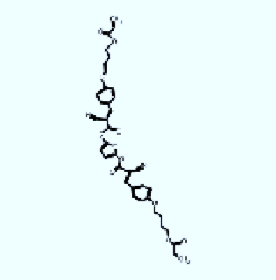 C=CC(=O)OCCCCOc1ccc(/C=C(\C#N)C(=O)Oc2ccc(SC(=O)/C(C#N)=C/c3ccc(OCCCCOC(=O)C=C)cc3)o2)cc1